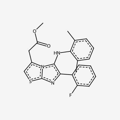 COC(=O)Cc1csc2nc(-c3ccccc3F)c(Nc3c(C)cccc3C)n12